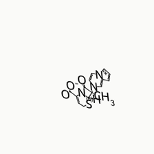 CC1(n2cc[n+]3cccc-3c2)C(=O)N2C(C(=O)[O-])=CCS[C@H]21